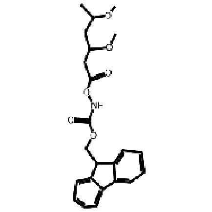 COC(C)CC(CC(=O)ONC(=O)OCC1c2ccccc2-c2ccccc21)OC